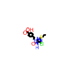 CCCSc1nc(Cl)c2[nH]c(=O)n(CCc3ccc(C(=O)O)cc3)c2n1